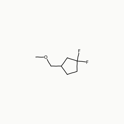 COCC1CCC(F)(F)C1